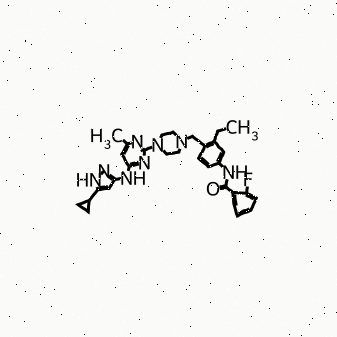 CCc1cc(NC(=O)c2ccccc2F)ccc1CN1CCN(c2nc(C)cc(Nc3cc(C4CC4)[nH]n3)n2)CC1